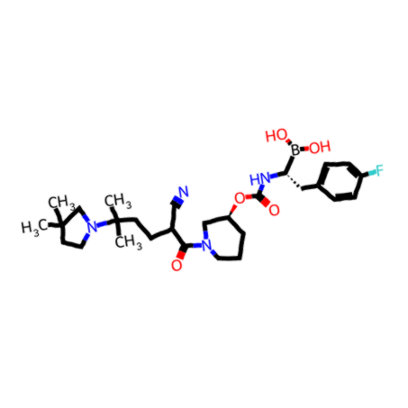 CC1(C)CCN(C(C)(C)CCC(C#N)C(=O)N2CCC[C@H](OC(=O)N[C@@H](Cc3ccc(F)cc3)B(O)O)C2)C1